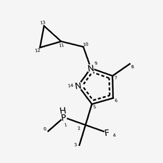 CPC(C)(F)c1cc(C)n(CC2CC2)n1